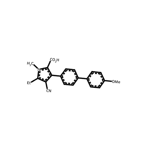 CCc1c(C#N)c(-c2ccc(-c3ccc(OC)cc3)cc2)c(C(=O)O)n1C